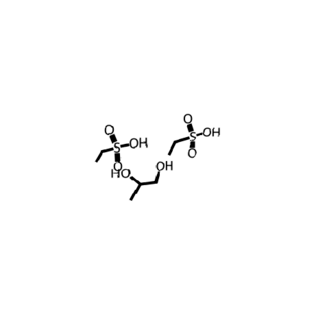 CC(O)CO.CCS(=O)(=O)O.CCS(=O)(=O)O